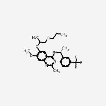 CCCOCC(C)Oc1cc2c(N[C@H](C)c3cccc(C(F)(F)F)c3)nc(C)nc2cc1OC